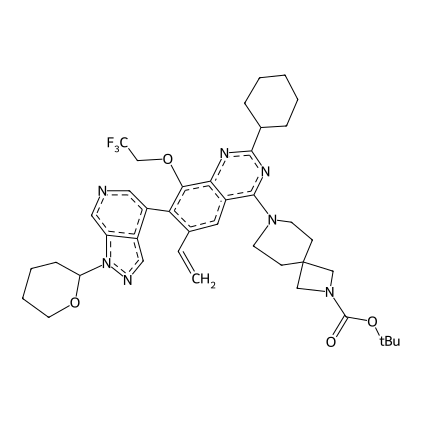 C=Cc1cc2c(N3CCC4(CC3)CN(C(=O)OC(C)(C)C)C4)nc(C3CCCCC3)nc2c(OCC(F)(F)F)c1-c1cncc2c1cnn2C1CCCCO1